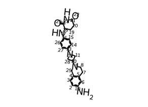 Nc1ccc2c(c1)CCN(C1CN(c3ccc(NC4CCC(=O)NC4=O)cc3)C1)C2